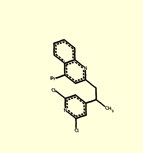 CC(C)c1cc(CC(C)c2cc(Cl)nc(Cl)c2)nc2ccccc12